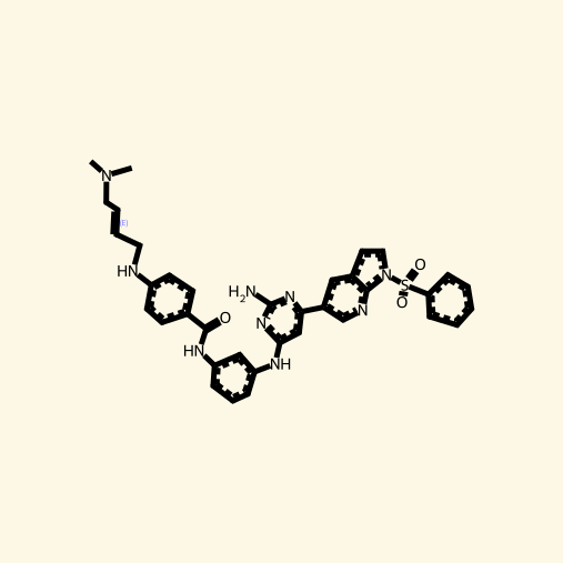 CN(C)C/C=C/CNc1ccc(C(=O)Nc2cccc(Nc3cc(-c4cnc5c(ccn5S(=O)(=O)c5ccccc5)c4)nc(N)n3)c2)cc1